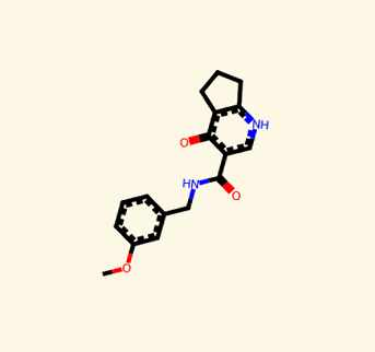 COc1cccc(CNC(=O)c2c[nH]c3c(c2=O)CCC3)c1